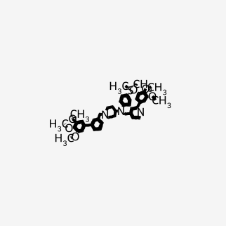 COc1cc(-c2cccc(CN3CCC(N(Cc4ccnc(-c5cc(OC)c(OC)c(OC)c5)c4)c4ccc(SC)cc4)CC3)c2)cc(OC)c1OC